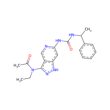 CCN(C(C)=O)c1n[nH]c2cc(NC(=O)NC(C)c3ccccc3)ncc12